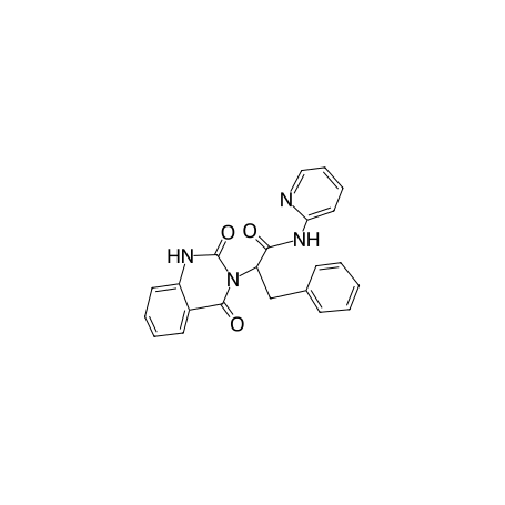 O=C(Nc1ccccn1)C(Cc1ccccc1)n1c(=O)[nH]c2ccccc2c1=O